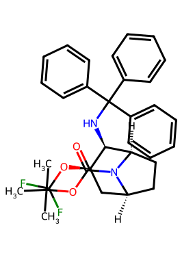 CC(C)(C)OC(=O)N1[C@H]2CC[C@@H]1[C@H](NC(c1ccccc1)(c1ccccc1)c1ccccc1)[C@H](OC(F)F)C2